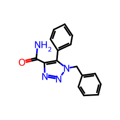 NC(=O)c1nnn(Cc2ccccc2)c1-c1ccccc1